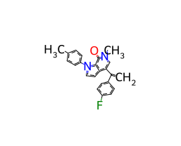 C=C(c1ccc(F)cc1)c1cn(C)c(=O)c2c1ccn2-c1ccc(C)cc1